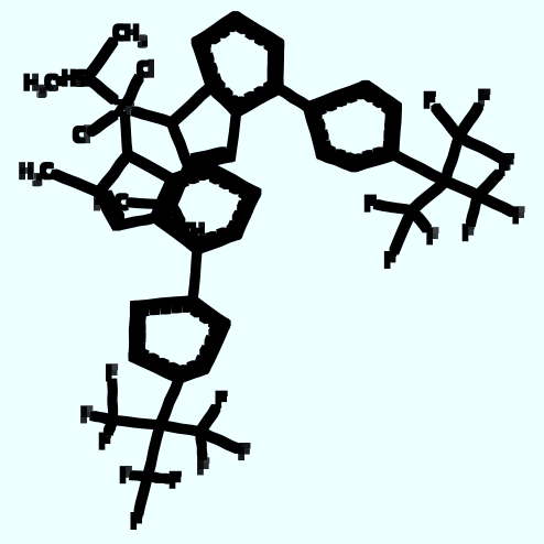 CC1=Cc2c(-c3ccc(C(C(F)(F)F)(C(F)(F)F)C(F)(F)F)cc3)cccc2[CH]1[Zr]([Cl])([Cl])([CH]1C(C(C)C)=Cc2c(-c3ccc(C(C(F)(F)F)(C(F)(F)F)C(F)(F)F)cc3)cccc21)[SiH](C)C